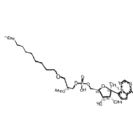 CCCCCCCCCCCCCCCCCCOC[C@H](COP(=O)(O)OC[C@H]1O[C@@](C)(c2ccc3c(N)ncnn23)[C@H](O)[C@@H]1O)OC